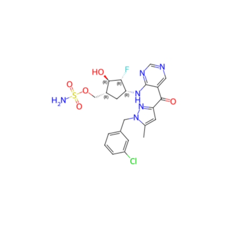 Cc1cc(C(=O)c2cncnc2N[C@@H]2C[C@H](COS(N)(=O)=O)[C@@H](O)[C@@H]2F)nn1Cc1cccc(Cl)c1